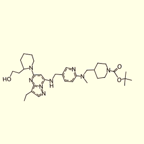 CCc1cnn2c(NCc3ccc(N(C)CC4CCN(C(=O)OC(C)(C)C)CC4)nc3)cc(N3CCCCC3CCO)nc12